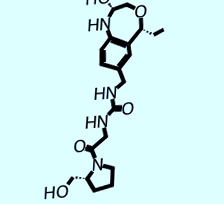 CC[C@H]1OC[C@@H](O)Nc2ccc(CNC(=O)NCC(=O)N3CCC[C@@H]3CO)cc21